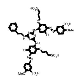 COc1ccc(N=Nc2cc(OCCCS(=O)(=O)O)c(Nc3nc(NCCc4ccccc4)nc(Nc4cc(Cl)c(N=Nc5ccc(OC)c(S(=O)(=O)O)c5)cc4OCCCS(=O)(=O)O)n3)cc2Cl)cc1S(=O)(=O)O